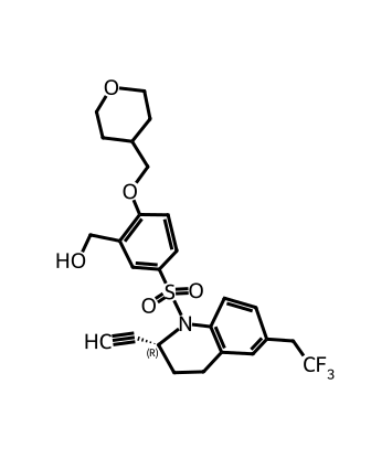 C#C[C@H]1CCc2cc(CC(F)(F)F)ccc2N1S(=O)(=O)c1ccc(OCC2CCOCC2)c(CO)c1